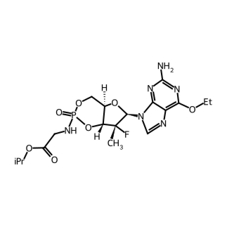 CCOc1nc(N)nc2c1ncn2[C@@H]1O[C@@H]2COP(=O)(NCC(=O)OC(C)C)O[C@H]2[C@@]1(C)F